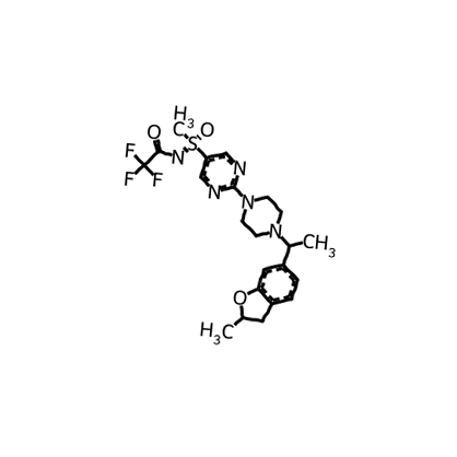 CC1Cc2ccc(C(C)N3CCN(c4ncc(S(C)(=O)=NC(=O)C(F)(F)F)cn4)CC3)cc2O1